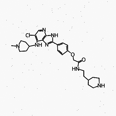 CN1CCC(Nc2c(Cl)cnc3[nH]c(-c4ccc(OCC(=O)NCCC5CCNCC5)cc4)nc23)CC1